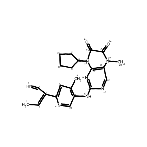 C/C=C(\C=N)c1cc(C)c(Nc2ncc3c(n2)n(C2CCCC2)c(=O)c(=O)n3C)cn1